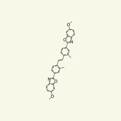 COc1ccc2nc(-c3ccc(C=Cc4ccc(-c5nc6ccc(OC)cc6o5)cc4C)c(C)c3)oc2c1